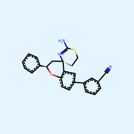 N#Cc1cccc(-c2ccc3c(c2)[C@@]2(CCSC(N)=N2)C[C@H](c2ccccc2)O3)c1